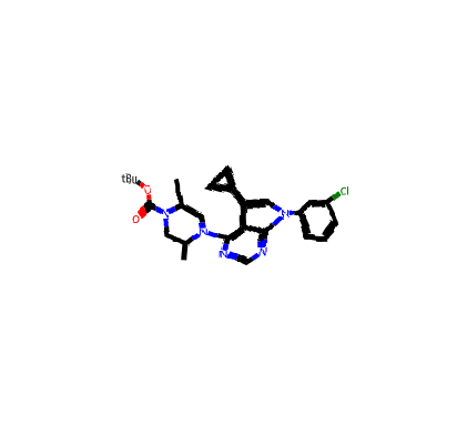 CC1CN(c2ncnc3c2c(C2CC2)cn3-c2cccc(Cl)c2)C(C)CN1C(=O)OC(C)(C)C